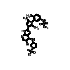 CCS(=O)(=O)N1CCC(Nc2c(Br)cnc3[nH]c(-c4cc(C)n(-c5cc(NS(C)(=O)=O)ccc5C)c4C)nc23)C1